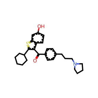 O=C(c1ccc(CCCN2CCCC2)cc1)c1c(C2CCCCC2)sc2cc(O)ccc12